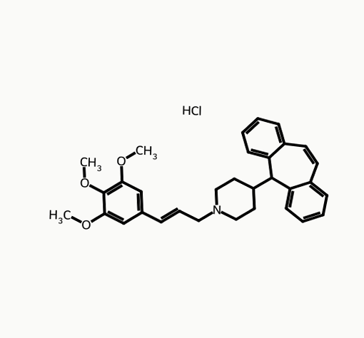 COc1cc(C=CCN2CCC(C3c4ccccc4C=Cc4ccccc43)CC2)cc(OC)c1OC.Cl